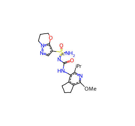 COc1nc(C(C)C)c(NC(=O)N=[S@@](N)(=O)c2cnn3c2OCCC3)c2c1CCC2